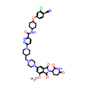 COc1cc(N2CCN(CC3CCN(c4ccc(C(=O)NC5CCC(Oc6ccc(C#N)c(Cl)c6)CC5)nn4)CC3)CC2)cc2c1C(=O)N(C1CCC(=O)NC1=O)C2=O